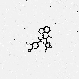 CC(=O)c1cc(S(=O)(=O)NC(c2n[nH]c(=S)o2)C(C)c2cccc3c2CCC3)ccc1Cl